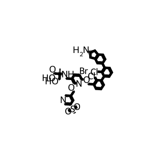 C[C@](CO)(NCc1cc(Br)c(OCc2cccc(-c3cccc(-c4ccc5c(c4)C[C@@H](N)C5)c3Cl)c2Cl)nc1OCc1cncc(S(C)(=O)=O)c1)C(=O)O